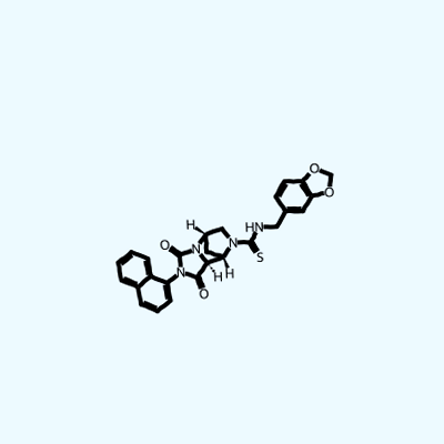 O=C1[C@@H]2[C@@H]3C[C@@H](CN3C(=S)NCc3ccc4c(c3)OCO4)N2C(=O)N1c1cccc2ccccc12